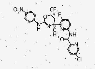 C[C@@]1(c2nc(NC(=O)c3ccc(Cl)cn3)ccc2F)C[C@@H](C(F)(F)F)OC(Nc2ccc([N+](=O)[O-])cc2)=N1